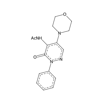 CC(=O)Nc1c(N2CCOCC2)cnn(-c2ccccc2)c1=O